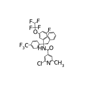 Cc1cc(C(=O)N[C@](Cc2ccccc2)(c2ccc(C(F)(F)F)cc2)c2cc(F)cc(OC(F)(F)C(F)F)c2)cc(Cl)n1